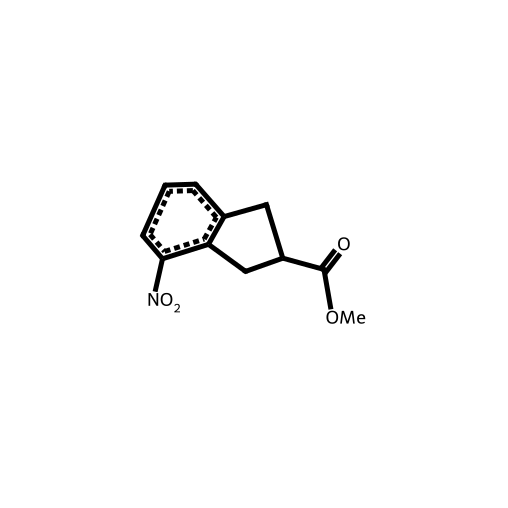 COC(=O)C1Cc2cccc([N+](=O)[O-])c2C1